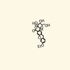 CCOc1ccc(Cc2cc3c(cc2Cl)C(=O)O[C@@H]2[C@@H](O)[C@H](O)[C@@H](CO)O[C@@H]32)cc1